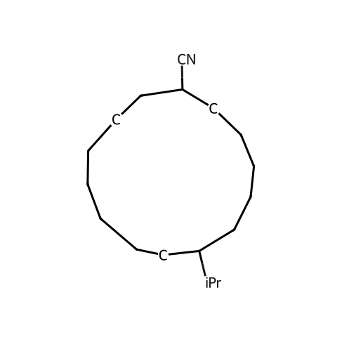 CC(C)C1CCCCCCCC(C#N)CCCCC1